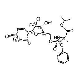 CC(C)OC(=O)[C@H](C)N[P@@](=O)(OC[C@H]1O[C@@H](n2ccc(=O)[nH]c2=O)[C@](F)(Cl)[C@@H]1O)Oc1ccccc1